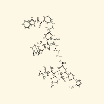 Cc1ncsc1-c1ccc([C@H](CC(=O)NCCCCCCNC(=O)c2nc(N3CCc4cccc(C(=O)Nc5nc6ccccc6s5)c4C3)ccc2-c2cnn(CC34CC5CC(CC(C5)C3)C4)c2C)NC(=O)[C@@H]2C[C@@H](O)CN2C(=O)[C@@H](NC(=O)C2(C#N)CC2)C(C)(C)C)cc1